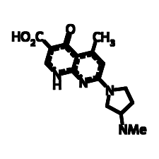 CNC1CCN(c2cc(C)c3c(=O)c(C(=O)O)c[nH]c3n2)C1